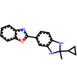 CC1(C2CC2)Nc2ccc(-c3nc4ccccc4o3)cc2N1